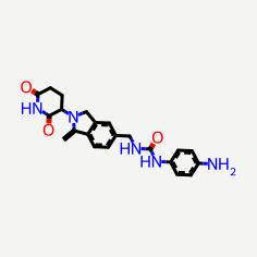 C=C1c2ccc(CNC(=O)Nc3ccc(N)cc3)cc2CN1C1CCC(=O)NC1=O